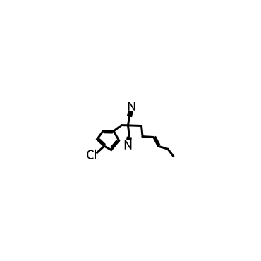 CCC=CCCC(C#N)(C#N)Cc1ccc(Cl)cc1